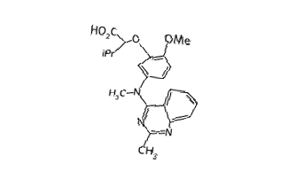 COc1ccc(N(C)c2nc(C)nc3ccccc23)cc1OC(C(=O)O)C(C)C